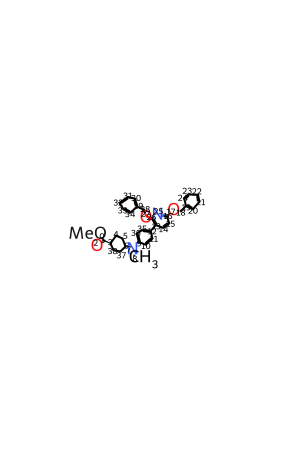 COC(=O)[C@H]1CC[C@H](N(C)c2ccc(-c3ccc(OCc4ccccc4)nc3OCc3ccccc3)cc2)CC1